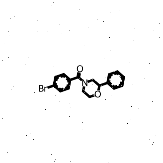 O=C(c1ccc(Br)cc1)N1CCOC(c2ccccc2)C1